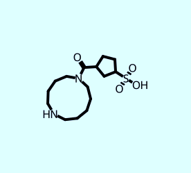 O=C(C1CCC(S(=O)(=O)O)C1)N1CCCCCNCCCC1